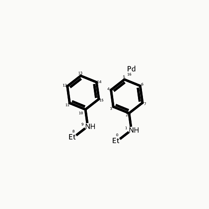 CCNc1ccccc1.CCNc1ccccc1.[Pd]